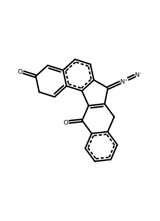 [N-]=[N+]=C1C2=C(C(=O)c3ccccc3C2)c2c1ccc1c2=CCC(=O)C=1